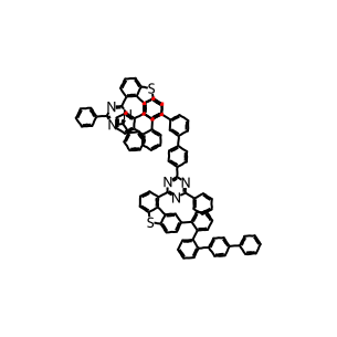 c1ccc(-c2ccc(-c3ccccc3-c3ccccc3-c3ccc4sc5cccc(-c6nc(-c7ccccc7)nc(-c7ccc(-c8cccc(-c9cccc(-c%10ccccc%10-c%10ccccc%10-c%10ccc%11sc%12cccc(-c%13nc(-c%14ccccc%14)nc(-c%14ccccc%14)n%13)c%12c%11c%10)c9)c8)cc7)n6)c5c4c3)cc2)cc1